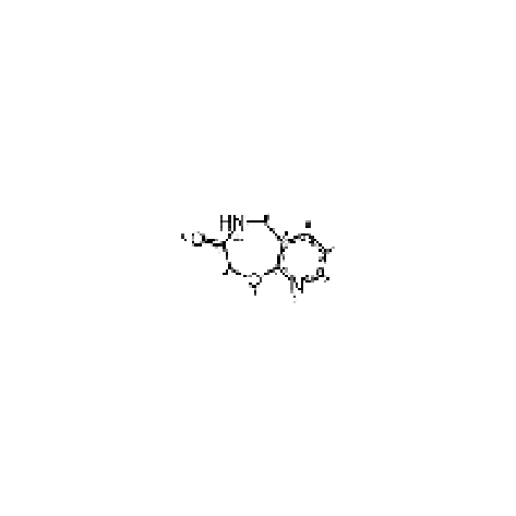 O=C1COc2ncccc2CN1